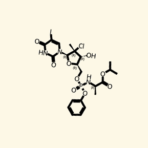 CC(C)OC(=O)[C@@H](C)NP(=O)(OC[C@H]1O[C@@H](n2cc(I)c(=O)[nH]c2=O)[C@](C)(Cl)[C@@H]1O)Oc1ccccc1